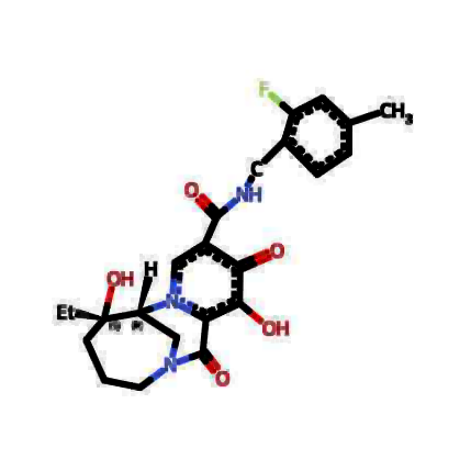 CC[C@]1(O)CCCN2C[C@H]1n1cc(C(=O)NCc3ccc(C)cc3F)c(=O)c(O)c1C2=O